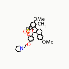 CCCCS(=O)(=O)OC(C1=C(c2cccc(OC)c2C)CCc2cc(OC)ccc21)c1ccc(OCCN2CCCCC2)cc1